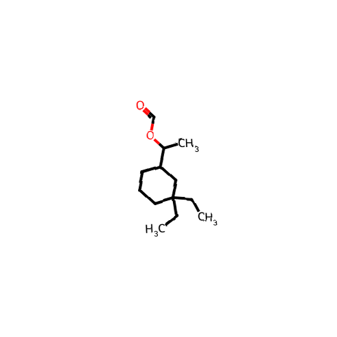 CCC1(CC)CCCC(C(C)OC=O)C1